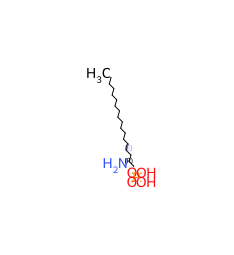 CCCCCCCCCCCCC/C=C/C[C@@H](N)COP(=O)(O)O